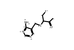 CC(=O)C(CF)SCc1cncnc1N